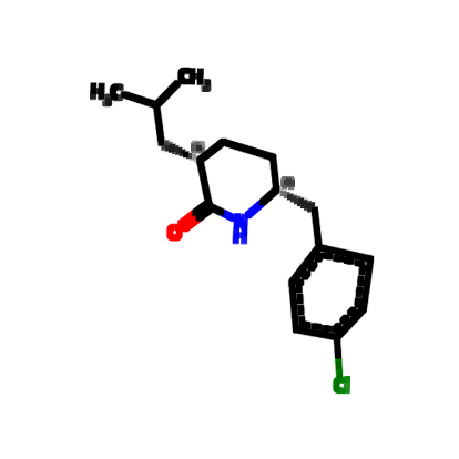 CC(C)C[C@@H]1CC[C@H](Cc2ccc(Cl)cc2)NC1=O